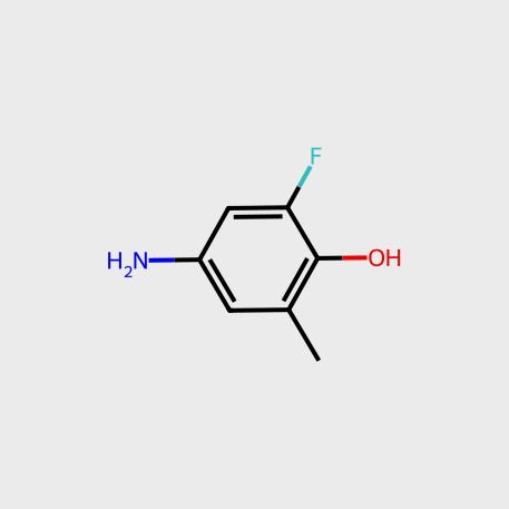 Cc1cc(N)cc(F)c1O